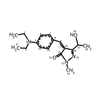 CCN(CC)c1ccc(/C=C2\C(=O)N(C)N=C2C(C)O)cc1